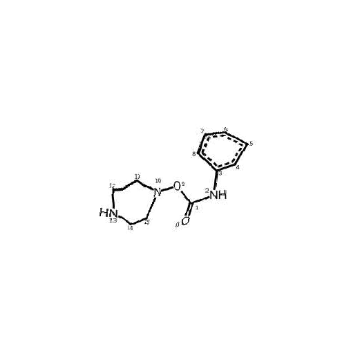 O=C(Nc1ccccc1)ON1CCNCC1